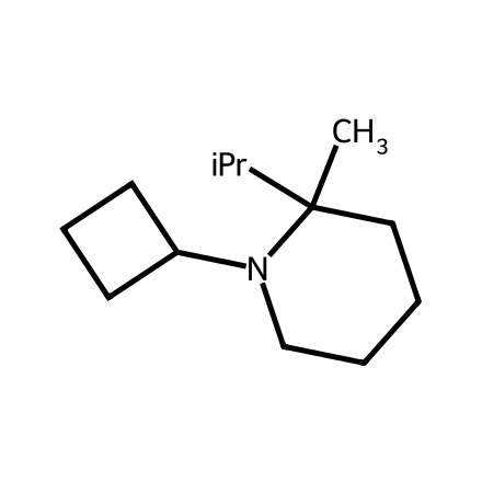 CC(C)C1(C)CCCCN1C1CCC1